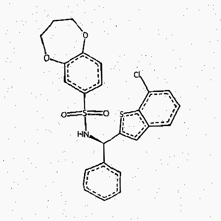 O=S(=O)(N[C@H](c1ccccc1)c1cc2cccc(Cl)c2s1)c1ccc2c(c1)OCCCO2